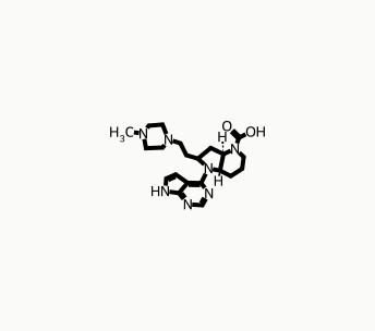 CN1CCN(CCC2C[C@@H]3[C@@H](CCCN3C(=O)O)N2c2ncnc3[nH]ccc23)CC1